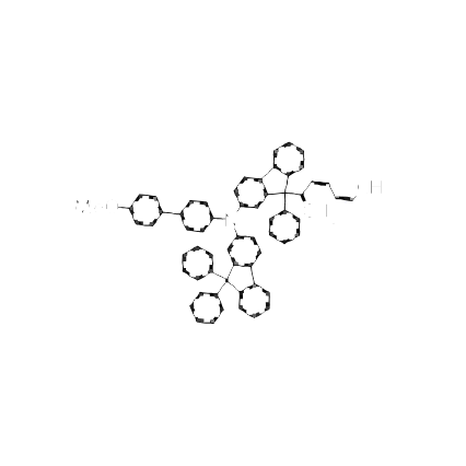 C=C(/C=C\C=C/C)C1(c2ccccc2)c2ccccc2-c2ccc(N(c3ccc(-c4ccc(OC)cc4)cc3)c3ccc4c(c3)C(c3ccccc3)(c3ccccc3)c3ccccc3-4)cc21